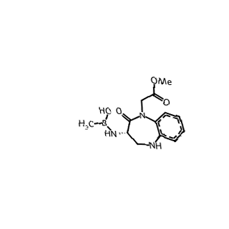 COC(=O)CN1C(=O)[C@@H](NB(C)O)CNc2ccccc21